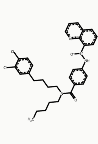 CCCCCN(CCCCc1ccc(Cl)c(Cl)c1)C(=O)c1ccc(N[S+]([O-])c2cccc3cccnc23)cc1